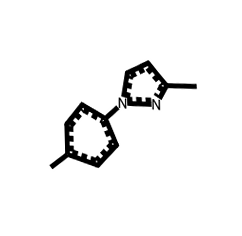 Cc1ccc(-n2ccc(C)n2)cc1